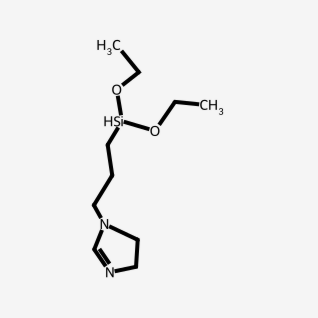 CCO[SiH](CCCN1C=NCC1)OCC